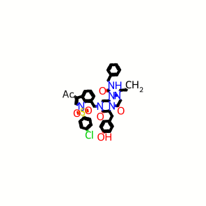 C=CCN1CC(=O)N2C(Cc3ccc(O)cc3)C(=O)N(Cc3cccc4c(C(C)=O)cn(S(=O)(=O)c5ccc(Cl)cc5)c34)CC2N1C(=O)NCc1ccccc1